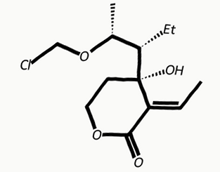 C/C=C1/C(=O)OCC[C@@]1(O)[C@@H](CC)[C@@H](C)OCCl